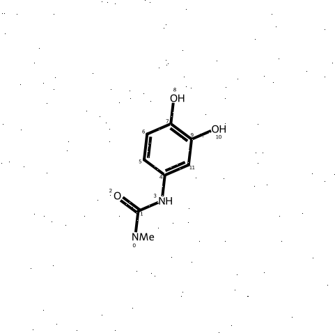 CNC(=O)Nc1ccc(O)c(O)c1